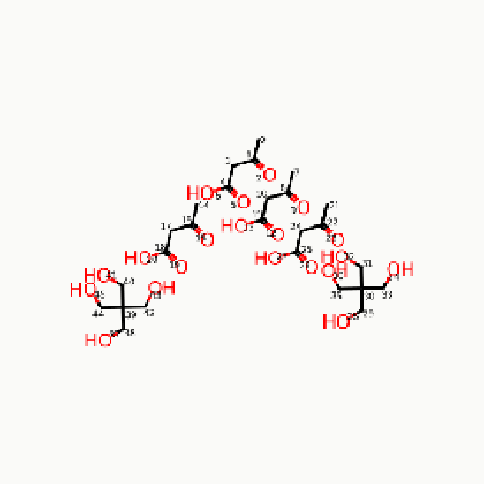 CC(=O)CC(=O)O.CC(=O)CC(=O)O.CC(=O)CC(=O)O.CC(=O)CC(=O)O.OCC(CO)(CO)CO.OCC(CO)(CO)CO